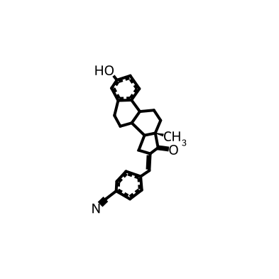 C[C@]12CCC3c4ccc(O)cc4CCC3C1C/C(=C\c1ccc(C#N)cc1)C2=O